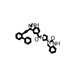 O=C(c1ccc2[nH]nc(C#Cc3ccccc3-c3ccccc3)c2c1)N1CC[C@H](N2Cc3ccccc3NC2=O)C1